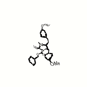 CCCCOc1ccc(CC2/C(=C/c3ccc(OC)cc3)N(C(=O)OCc3ccccc3)C(=N)N2C)cc1